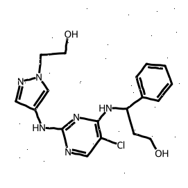 OCCC(Nc1nc(Nc2cnn(CCO)c2)ncc1Cl)c1ccccc1